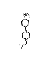 O=[N+]([O-])c1ccc(N2CCN(CC(F)(F)F)CC2)cc1